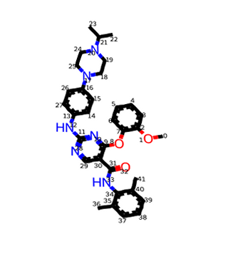 COc1ccccc1Oc1nc(Nc2ccc(N3CCN(C(C)C)CC3)cc2)ncc1C(=O)Nc1c(C)cccc1C